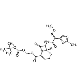 CON=C(C(=O)NC1C(=O)N2C(C(=O)OCOC(=O)OC(C)(C)C)=CCS[C@@H]12)c1csc(N)n1